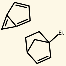 CCC12C=CC(CC1)C2.c1cc2cc-2c1